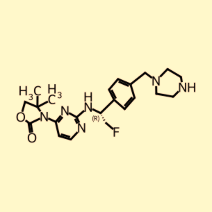 CC1(C)COC(=O)N1c1ccnc(N[C@@H](CF)c2ccc(CN3CCNCC3)cc2)n1